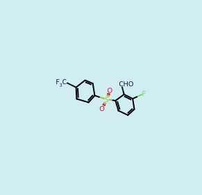 O=Cc1c(F)cccc1S(=O)(=O)c1ccc(C(F)(F)F)cc1